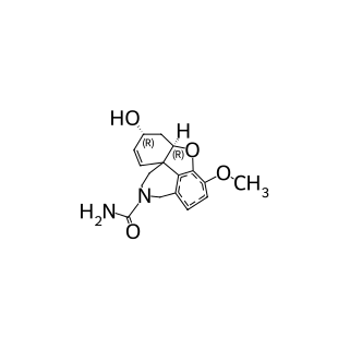 COc1ccc2c3c1O[C@@H]1C[C@@H](O)C=CC31CCN(C(N)=O)C2